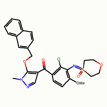 COc1ccc(C(=O)c2cnn(C)c2OCc2ccc3ccccc3c2)c(Cl)c1N=S1(=O)CCOCC1